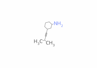 CC(C)C#CC1CCCC(N)C1